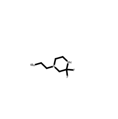 CC(C)(C)CCN1CCNC(F)(F)C1